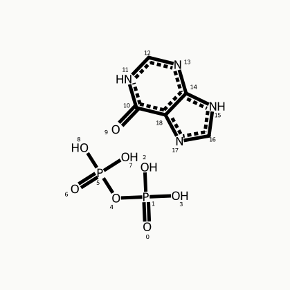 O=P(O)(O)OP(=O)(O)O.O=c1[nH]cnc2[nH]cnc12